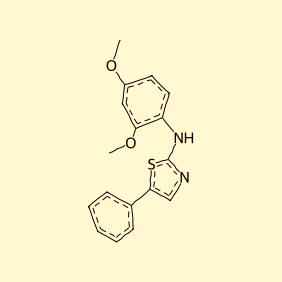 COc1ccc(Nc2ncc(-c3ccccc3)s2)c(OC)c1